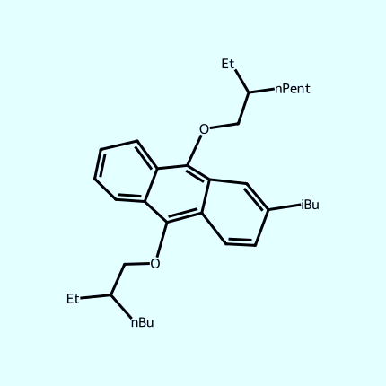 CCCCCC(CC)COc1c2ccccc2c(OCC(CC)CCCC)c2ccc(C(C)CC)cc12